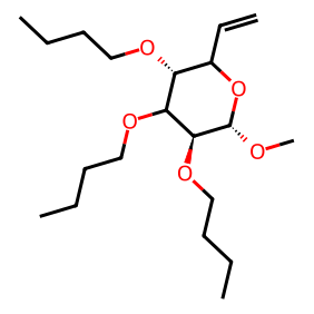 C=CC1O[C@H](OC)[C@@H](OCCCC)C(OCCCC)[C@@H]1OCCCC